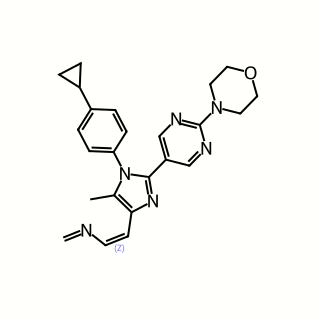 C=N/C=C\c1nc(-c2cnc(N3CCOCC3)nc2)n(-c2ccc(C3CC3)cc2)c1C